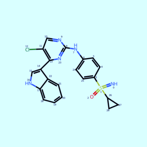 N=S(=O)(c1ccc(Nc2ncc(Cl)c(-c3c[nH]c4ccccc34)n2)cc1)C1CC1